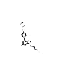 Cl.NC/C=C(\F)Cn1cnc2c(-c3ccc(S(=O)(=O)C4CNCCO4)cc3)cc(F)cc21